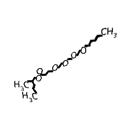 CCCCCCCOCCOCCOCCOCCCC(=O)OCC(CC)CCCC